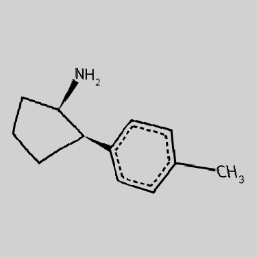 Cc1ccc([C@H]2CCC[C@H]2N)cc1